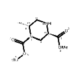 COC(=O)[C@H]1CN(C(=O)OC(C)(C)C)[C@H](C)CN1